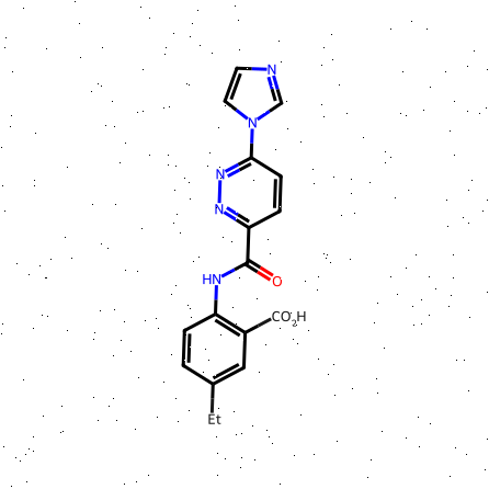 CCc1ccc(NC(=O)c2ccc(-n3ccnc3)nn2)c(C(=O)O)c1